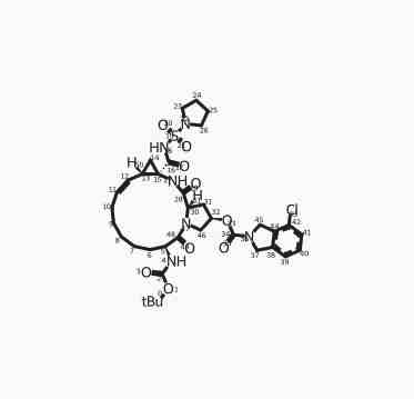 CC(C)(C)OC(=O)N[C@H]1CCCCC/C=C\[C@@H]2C[C@@]2(C(=O)NS(=O)(=O)N2CCCC2)NC(=O)[C@@H]2C[C@@H](OC(=O)N3Cc4cccc(Cl)c4C3)CN2C1=O